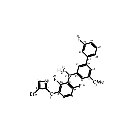 CCC1=CN=C1Oc1ccc(F)c(N(C)c2cc(OC)cc(-c3cccc(F)c3)c2)c1F